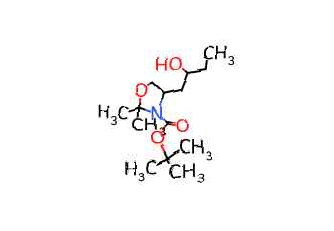 CCC(O)CC1COC(C)(C)N1C(=O)OC(C)(C)C